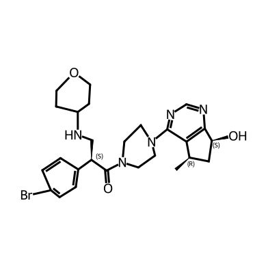 C[C@@H]1C[C@H](O)c2ncnc(N3CCN(C(=O)[C@H](CNC4CCOCC4)c4ccc(Br)cc4)CC3)c21